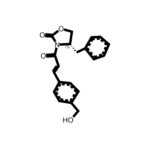 O=C(/C=C/c1ccc(CO)cc1)N1C(=O)OC[C@@H]1Cc1ccccc1